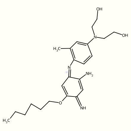 CCCCCCOC1=C/C(=N/c2ccc(N(CCO)CCO)cc2C)C(N)=CC1=N